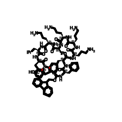 CC(C)C[C@H](NC(=O)[C@H](CCCN)NC(=O)[C@@H](NC(=O)[C@H](CCCN)NC(=O)[C@H](CCCN)NC(=O)[C@H](CCCN)NC(=O)[C@@H](Cc1ccccc1)NC(=O)[C@H](Cc1ccccc1)NC(=O)OCC1c2ccccc2-c2ccccc21)C(C)C)C(=O)N[C@H](Cc1ccccc1)C(=O)N1CCC[C@H]1C(=O)O